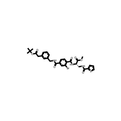 COC(=O)[C@H](CNC(=O)c1cccs1)NC(=O)c1ccc(C(=O)NCc2cccc(CC(=O)OC(C)(C)C)c2)cc1Br